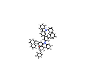 c1ccc(-c2cccc(-c3ccccc3N(c3ccc(-c4cccc5ccccc45)cc3)c3ccc4c(c3)-c3ccccc3C43c4ccccc4-n4c5ccccc5c5cccc3c54)c2)cc1